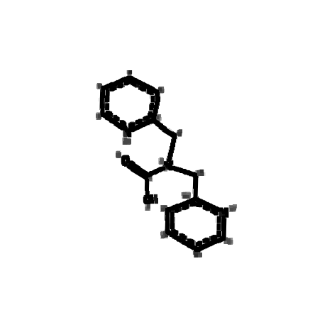 O=C(O)N(Cc1ccccn1)Cc1ccccn1